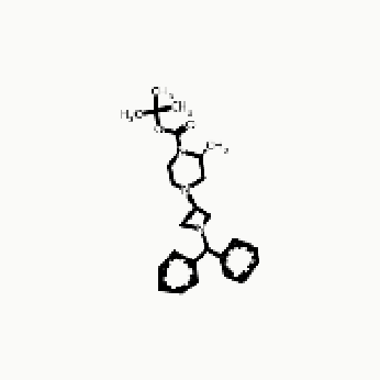 C[C@H]1CN(C2CN(C(c3ccccc3)c3ccccc3)C2)CCN1C(=O)OC(C)(C)C